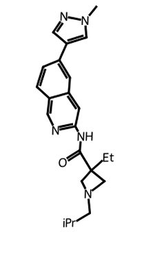 CCC1(C(=O)Nc2cc3cc(-c4cnn(C)c4)ccc3cn2)CN(CC(C)C)C1